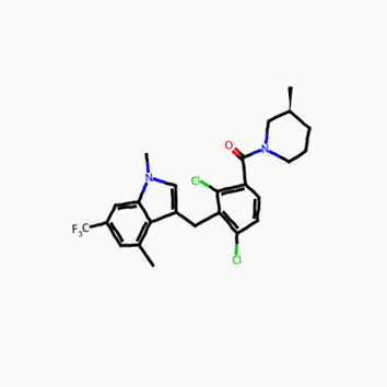 Cc1cc(C(F)(F)F)cc2c1c(Cc1c(Cl)ccc(C(=O)N3CCC[C@H](C)C3)c1Cl)cn2C